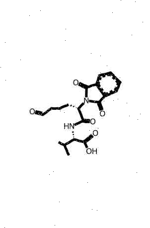 CC(C)[C@H](NC(=O)[C@H](CCCC=O)N1C(=O)c2ccccc2C1=O)C(=O)O